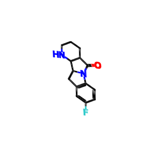 O=C1C2CCCNC2C2Cc3cc(F)ccc3N12